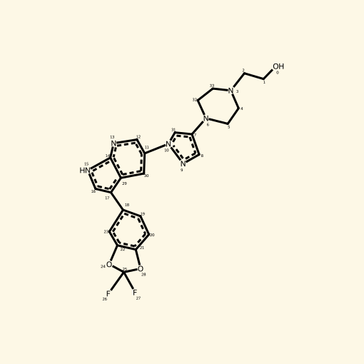 OCCN1CCN(c2cnn(-c3cnc4[nH]cc(-c5ccc6c(c5)OC(F)(F)O6)c4c3)c2)CC1